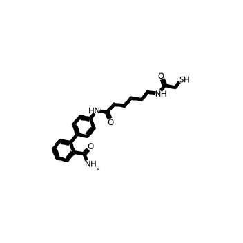 NC(=O)c1ccccc1-c1ccc(NC(=O)CCCCCNC(=O)CS)cc1